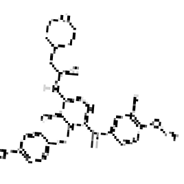 CC(C)Oc1ccc(Nc2ncc(NC(=O)CC3CCOCC3)c(=O)n2Cc2ccc(Cl)cc2)cc1F